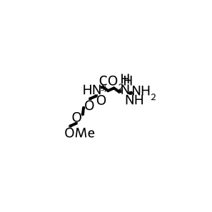 COCCOCCOCC(=O)N[C@@H](CCCNC(=N)N)C(=O)O